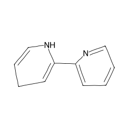 C1=CNC(c2ccccn2)=CC1